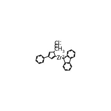 CC1C=C(c2ccccc2)C=[C]1[Zr+2][CH]1c2ccccc2-c2ccccc21.[Cl-].[Cl-]